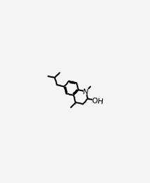 C[C]1CC(O)N(C)c2ccc(CC(C)C)cc21